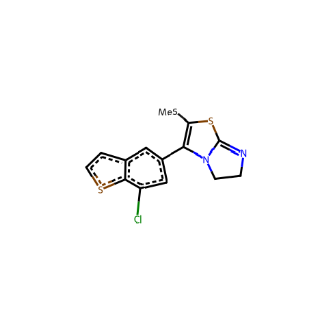 CSC1=C(c2cc(Cl)c3sccc3c2)N2CCN=C2S1